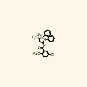 COc1ccc(Cl)cc1C(=O)N=C1CC(C(F)(F)F)S(c2ccccc2)(C(C)(C)C)N1c1ccccc1